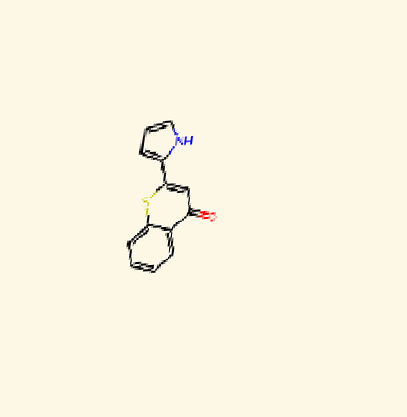 O=c1cc(-c2ccc[nH]2)sc2ccccc12